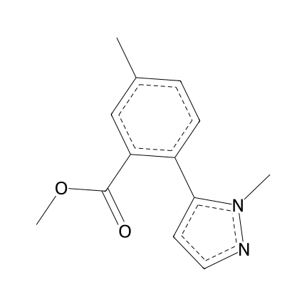 COC(=O)c1cc(C)ccc1-c1ccnn1C